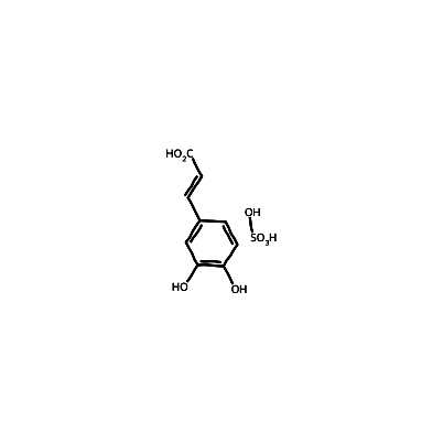 O=C(O)C=Cc1ccc(O)c(O)c1.O=S(=O)(O)O